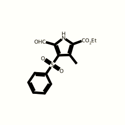 CCOC(=O)c1[nH]c(C=O)c(S(=O)(=O)c2ccccc2)c1C